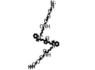 CC1(C)C(/C=C/C2=C(Cl)C(=C/C=C3/N(CCCCCC(=O)NCCOCCOCCON=[N+]=[N-])c4ccccc4C3(C)C)/CC2)=[N+](CCCCCC(=O)NCCOCCOCCOCCN=[N+]=[N-])c2ccccc21